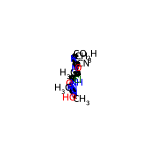 Cc1c(-c2nc3cc(CN4CC[C@@](C)(C(=O)O)C4)cc(C#N)c3o2)cccc1-c1cccc(NC(=O)c2nc3c(n2C)CCN(C[C@@H](C)O)C3)c1Cl